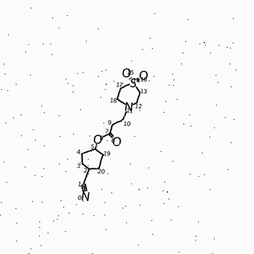 N#CC1CCC(OC(=O)CCN2CCS(=O)(=O)CC2)CC1